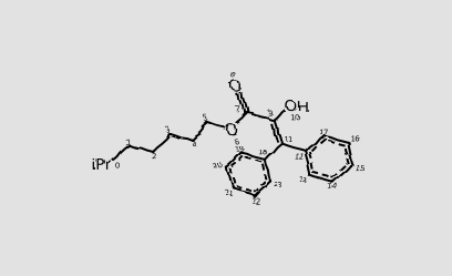 CC(C)CCCCCOC(=O)C(O)=C(c1ccccc1)c1ccccc1